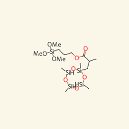 CO[Si](CCCOC(=O)C(C)C[Si]1(C)O[SiH](C)O[SiH](C)O[SiH](C)O1)(OC)OC